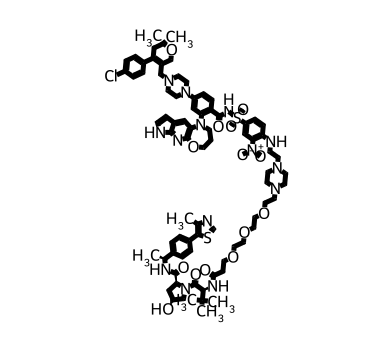 Cc1ncsc1-c1ccc([C@H](C)NC(=O)[C@@H]2C[C@@H](O)CN2C(=O)[C@@H](NC(=O)CCOCCOCCOCCN2CCN(CCNc3ccc(S(=O)(=O)NC(=O)c4ccc(N5CCN(CC6=C(c7ccc(Cl)cc7)CC(C)(C)OC6)CC5)cc4N4CCCOc5nc6[nH]ccc6cc54)cc3[N+](=O)[O-])CC2)C(C)(C)C)cc1